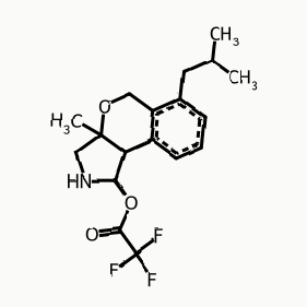 CC(C)Cc1cccc2c1COC1(C)CNC(OC(=O)C(F)(F)F)C21